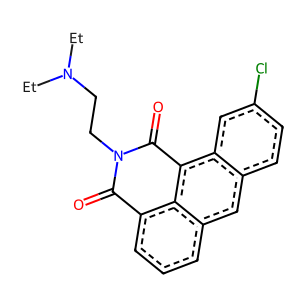 CCN(CC)CCN1C(=O)c2cccc3cc4ccc(Cl)cc4c(c23)C1=O